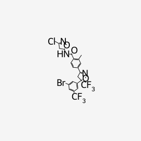 Cc1cc(C2=NO[C@@](c3cc(Br)cc(C(F)(F)F)c3)(C(F)(F)F)C2)ccc1C(=O)NC1CC(Cl)=NO1